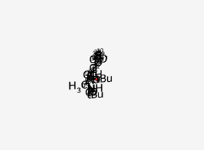 CC(CCNC(=O)OC(C)(C)C)CC(NC(=O)OC(C)(C)C)C(=O)NCCOCCON1C(=O)c2ccccc2C1=O